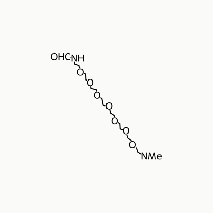 CNCCOCCOCCOCCOCCOCCOCCOCCNC=O